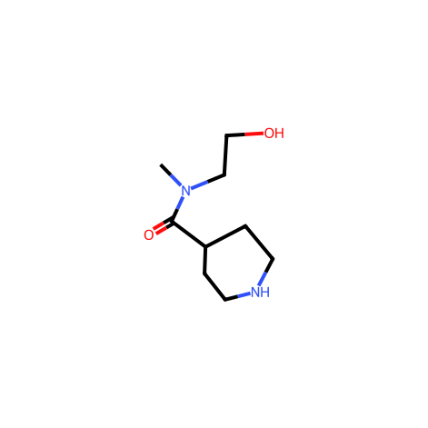 CN(CCO)C(=O)C1CCNCC1